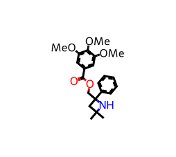 COc1cc(C(=O)OCC2(c3ccccc3)CC(C)(C)N2)cc(OC)c1OC